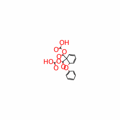 O=C(O)OC(=O)C1(C(=O)OC(=O)O)C=CC=CC1Oc1ccccc1